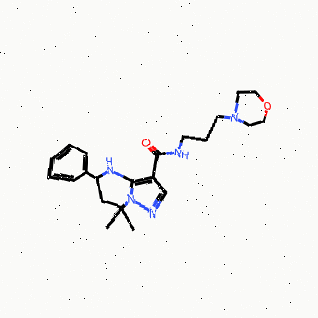 CC1(C)CC(c2ccccc2)Nc2c(C(=O)NCCCN3CCOCC3)cnn21